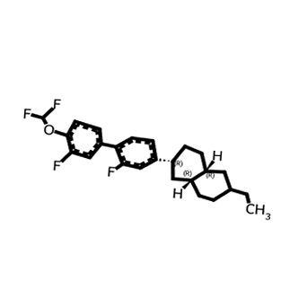 CCC1CC[C@@H]2C[C@H](c3ccc(-c4ccc(OC(F)F)c(F)c4)c(F)c3)CC[C@@H]2C1